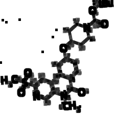 CN(C(=O)c1ccc(OC2CCN(C(=O)OC(C)(C)C)CC2)cc1)c1ccc(S(C)(=O)=O)nc1